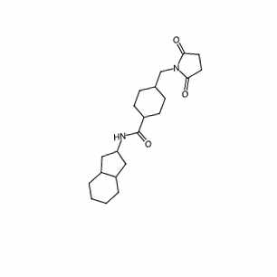 O=C(NC1CC2CCCCC2C1)C1CCC(CN2C(=O)CCC2=O)CC1